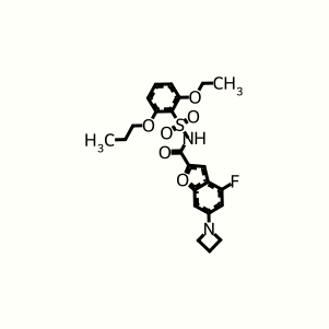 CCCOc1cccc(OCC)c1S(=O)(=O)NC(=O)c1cc2c(F)cc(N3CCC3)cc2o1